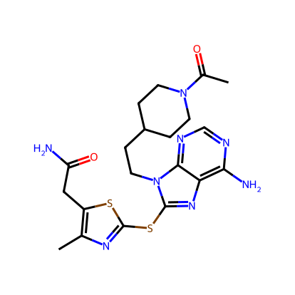 CC(=O)N1CCC(CCn2c(Sc3nc(C)c(CC(N)=O)s3)nc3c(N)ncnc32)CC1